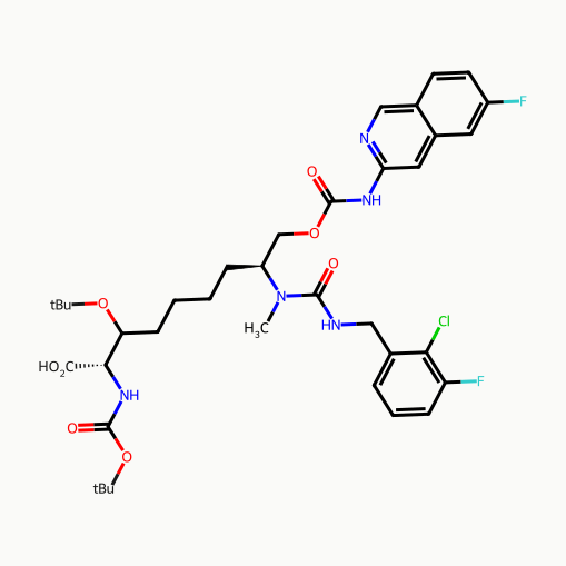 CN(C(=O)NCc1cccc(F)c1Cl)[C@@H](CCCCC(OC(C)(C)C)[C@H](NC(=O)OC(C)(C)C)C(=O)O)COC(=O)Nc1cc2cc(F)ccc2cn1